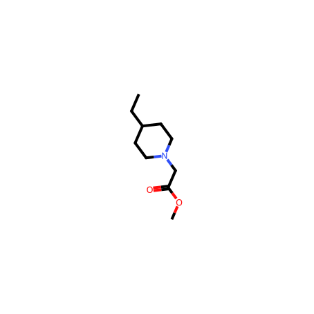 CCC1CCN(CC(=O)OC)CC1